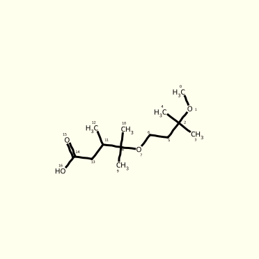 COC(C)(C)CCOC(C)(C)C(C)CC(=O)O